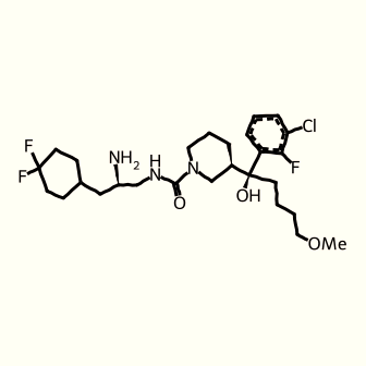 COCCCC[C@@](O)(c1cccc(Cl)c1F)[C@@H]1CCCN(C(=O)NC[C@H](N)CC2CCC(F)(F)CC2)C1